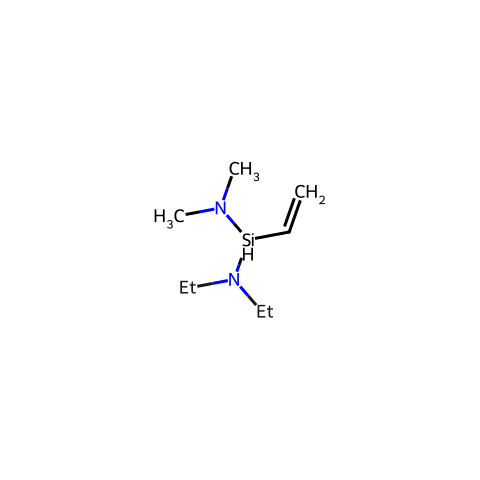 C=C[SiH](N(C)C)N(CC)CC